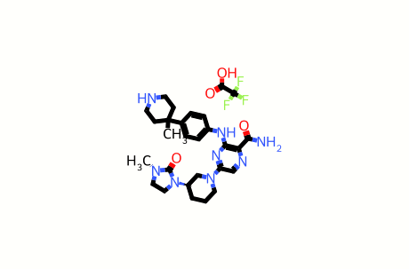 CN1CCN([C@@H]2CCCN(c3cnc(C(N)=O)c(Nc4ccc(C5(C)CCNCC5)cc4)n3)C2)C1=O.O=C(O)C(F)(F)F